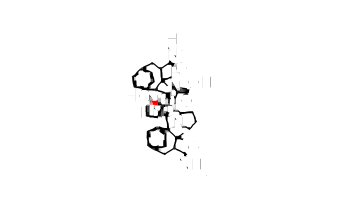 CC(C)N(C1CCCN1[C@]1(C(=O)NC(=O)O)c2ccc(cc2)CC(C(N)=O)C1(C)C)C1CCCN1[C@]1(C(=O)NC(=O)O)c2ccc(cc2)CC(C(N)=O)C1(C)C